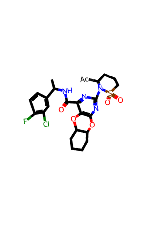 CC(=O)C1CCCS(=O)(=O)N1c1nc2c(c(C(=O)NC(C)c3ccc(F)c(Cl)c3)n1)OC1CCCCC1O2